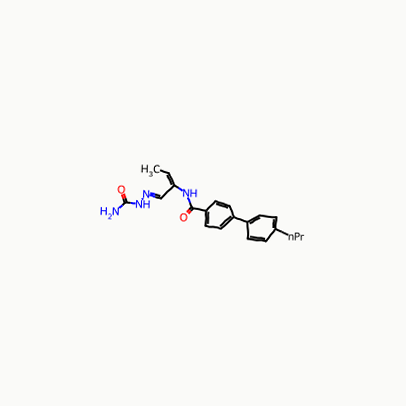 C/C=C(\C=N\NC(N)=O)NC(=O)c1ccc(-c2ccc(CCC)cc2)cc1